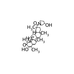 CC[C@@]12CC[C@@]3(C)C4=CC(=O)C(O)=C(C)C4=CC=C3[C@@]1(C)CC[C@@]1(C)CC[C@@](C)(C(=O)N3CCC(O)C3)C[C@H]12